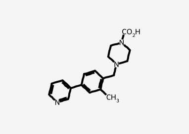 Cc1cc(-c2cccnc2)ccc1CN1CCN(C(=O)O)CC1